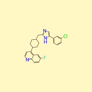 Fc1ccc2nccc(C3CCC(Cc4ncc(-c5cccc(Cl)c5)[nH]4)CC3)c2c1